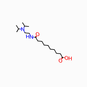 CC(C)N(CCNC(=O)CCCCCCCCC(=O)O)C(C)C